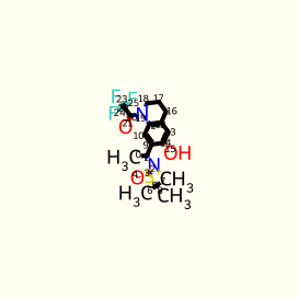 CC(=N[S@@+]([O-])C(C)(C)C)c1cc2c(cc1O)CCCN2C(=O)C(F)(F)F